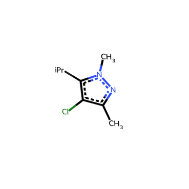 Cc1nn(C)c(C(C)C)c1Cl